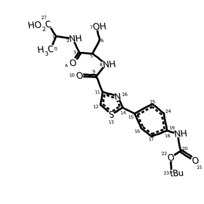 CC(NC(=O)C(CO)NC(=O)c1csc(-c2ccc(NC(=O)OC(C)(C)C)cc2)n1)C(=O)O